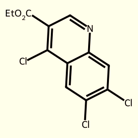 CCOC(=O)c1cnc2cc(Cl)c(Cl)cc2c1Cl